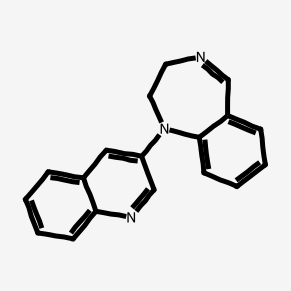 C1=NCCN(c2cnc3ccccc3c2)c2ccccc21